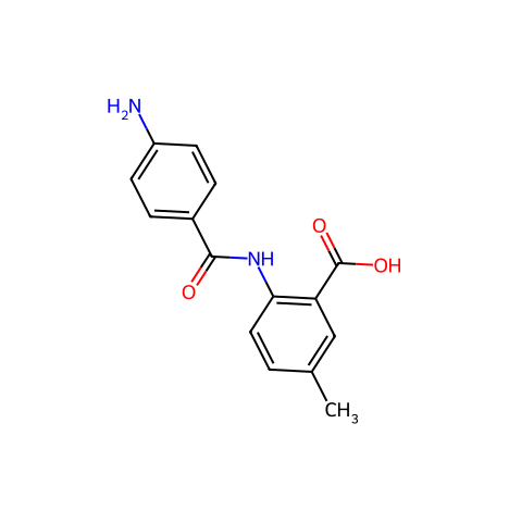 Cc1ccc(NC(=O)c2ccc(N)cc2)c(C(=O)O)c1